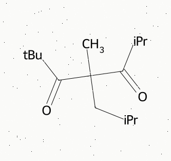 CC(C)CC(C)(C(=O)C(C)C)C(=O)C(C)(C)C